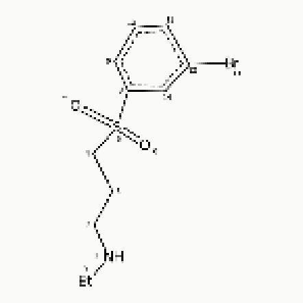 CCNCCCS(=O)(=O)c1cccc(Br)c1